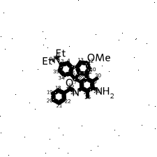 CCN(CC)c1ccc(C2(c3ccc(OC)cc3)OC(c3ccccc3)=Nc3c(C)c(N)c(C)c(C)c32)cc1